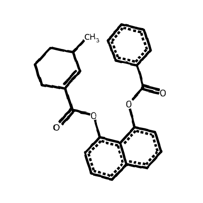 CC1C=C(C(=O)Oc2cccc3cccc(OC(=O)c4ccccc4)c23)CCC1